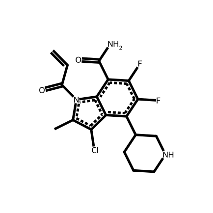 C=CC(=O)n1c(C)c(Cl)c2c(C3CCCNC3)c(F)c(F)c(C(N)=O)c21